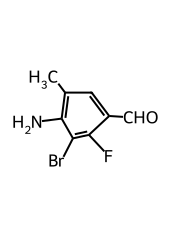 Cc1cc(C=O)c(F)c(Br)c1N